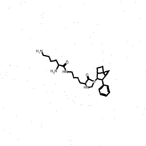 NCCCCC(N)C(=O)NCCCCC1NCN(C2C(c3ccccc3)C3CC34CCC24)C1=O